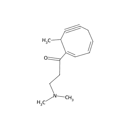 CC1C#CC/C=C\C=C/1C(=O)CCN(C)C